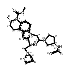 COC(=O)N1c2ccc3c(nc(CCn4cccn4)n3CC(O)N3CC[C@@H](NC(C)=O)C3)c2CC[C@@H]1C